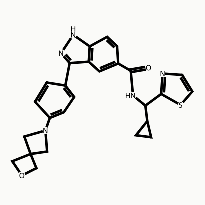 O=C(NC(c1nccs1)C1CC1)c1ccc2[nH]nc(-c3ccc(N4CC5(COC5)C4)cc3)c2c1